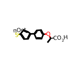 CCCCCCCCSc1ccc(-c2ccc(O[C@H](C)C(=O)O)cc2)cc1